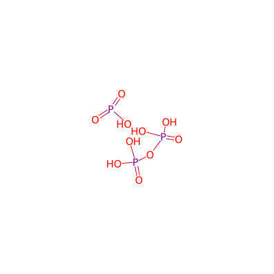 O=P(=O)O.O=P(O)(O)OP(=O)(O)O